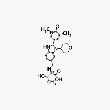 Cc1cc(C2Nc3ccc(CN[C@H](C(=O)O)C(C)O)cc3N2C2CCOCC2)cn(C)c1=O